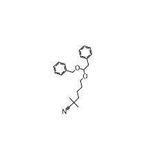 CC(C)(C#N)CCCCOC(Cc1ccccc1)OCc1ccccc1